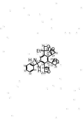 CCC1(c2cc(C(N)(N)c3ccccc3)c(C3(CC)COC3)c(C3(CC)COC3)c2C2(CC)COC2)COC1